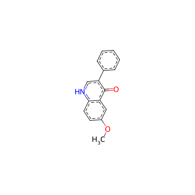 COc1ccc2[nH]cc(-c3ccccc3)c(=O)c2c1